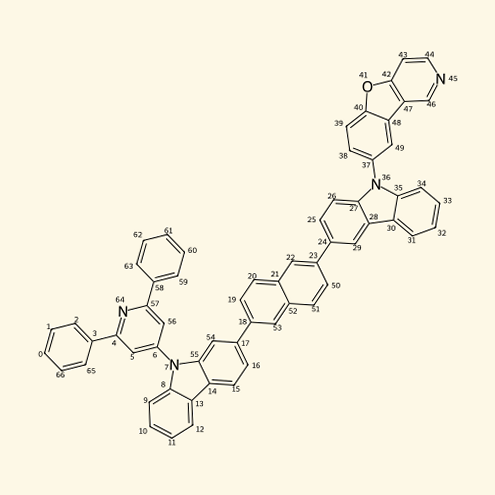 c1ccc(-c2cc(-n3c4ccccc4c4ccc(-c5ccc6cc(-c7ccc8c(c7)c7ccccc7n8-c7ccc8oc9ccncc9c8c7)ccc6c5)cc43)cc(-c3ccccc3)n2)cc1